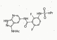 CCCS(=O)(=O)Nc1ccc(F)c(C(=O)Nc2cnc3[nH]nc(NC(C)=O)c3c2)c1F